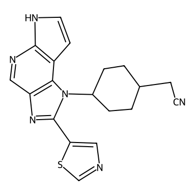 N#CCC1CCC(n2c(-c3cncs3)nc3cnc4[nH]ccc4c32)CC1